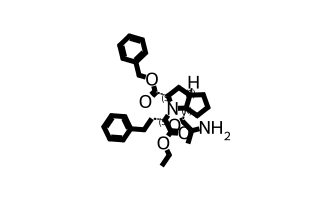 CCOC(=O)[C@H](CCc1ccccc1)N1[C@H](C(=O)OCc2ccccc2)C[C@H]2CCC[C@]21C(=O)C(C)N